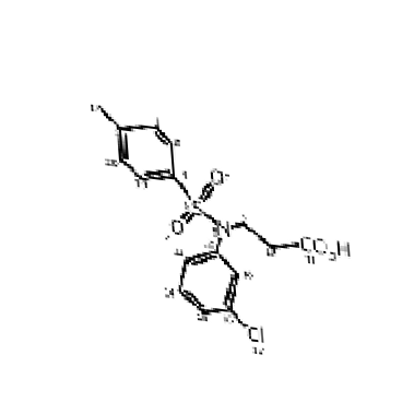 Cc1ccc(S(=O)(=O)N(CCC(=O)O)c2cccc(Cl)c2)cc1